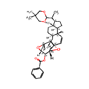 CC(C1OCC(C)(C)CO1)[C@H]1CC[C@H]2[C@@H]3C=C[C@@]45O[C@@H]4[C@@H](OC(=O)c4ccccc4)[C@@H]4O[C@@H]4[C@]5(C)[C@H]3CC[C@]12C